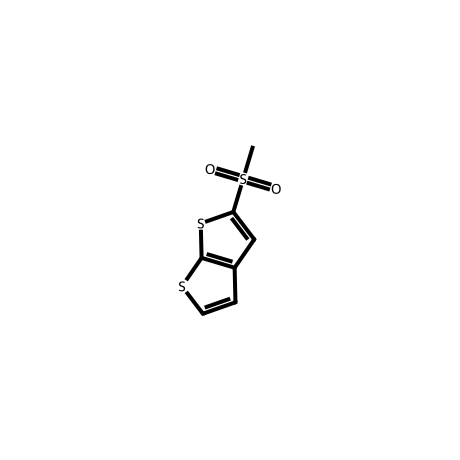 CS(=O)(=O)c1cc2ccsc2s1